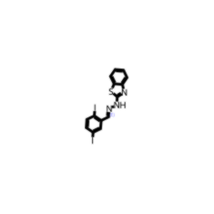 Ic1ccc(I)c(/C=N/Nc2nc3ccccc3s2)c1